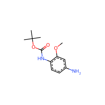 COc1cc(N)ccc1NC(=O)OC(C)(C)C